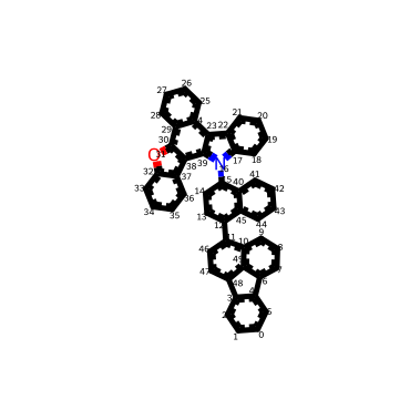 c1ccc2c(c1)-c1cccc3c(-c4ccc(-n5c6ccccc6c6c7ccccc7c7oc8ccccc8c7c65)c5ccccc45)ccc-2c13